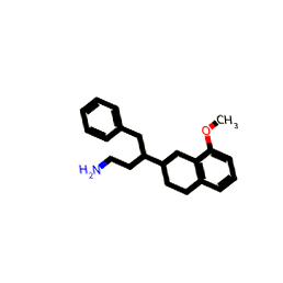 COc1cccc2c1CC(C(CCN)Cc1ccccc1)CC2